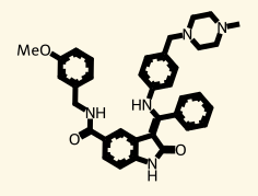 COc1cccc(CNC(=O)c2ccc3c(c2)C(=C(Nc2ccc(CN4CCN(C)CC4)cc2)c2ccccc2)C(=O)N3)c1